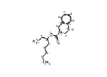 CCCCCC(CC)OC(=O)N1CNc2ccccc2C1